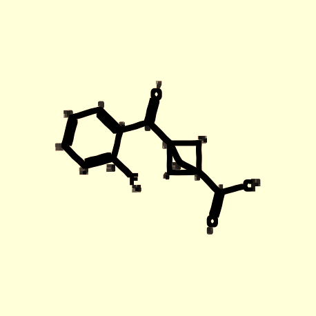 O=C(Cl)C12CC(C(=O)c3ccccc3F)(C1)C2